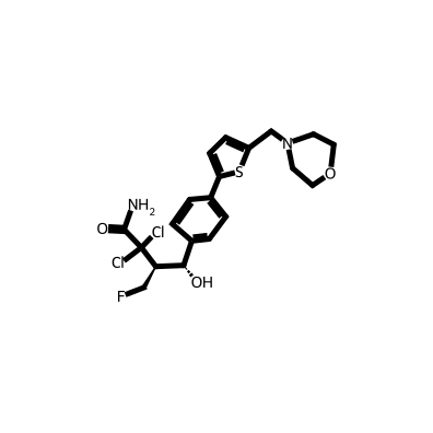 NC(=O)C(Cl)(Cl)[C@H](CF)[C@@H](O)c1ccc(-c2ccc(CN3CCOCC3)s2)cc1